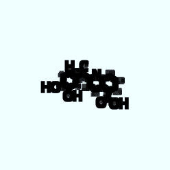 C=C(c1ccc(O)c(O)c1)c1ccc2c(C(=O)O)cccc2n1